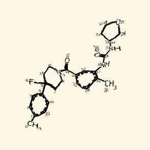 Cc1ccc(C2(F)CCN(C(=O)c3ccc(C)c(NC(=O)N[C@H]4CCOC4)c3)CC2)cc1